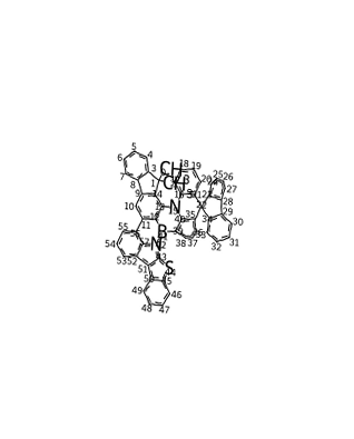 CC1(C)c2ccccc2-c2cc3c4c(c21)N1c2ccccc2C2(c5ccccc5-c5ccccc52)c2cccc(c21)B4n1c2sc4ccccc4c2c2cccc-3c21